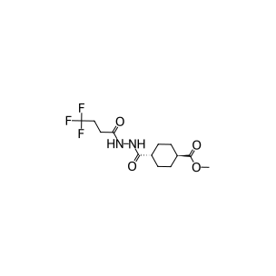 COC(=O)[C@H]1CC[C@H](C(=O)NNC(=O)CCC(F)(F)F)CC1